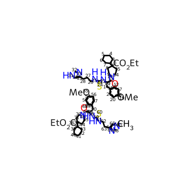 CCOC(=O)C1(C2CCCCC2)CCN(C(=O)[C@@H](Cc2ccc(OC)cc2)NC(=S)NCCCc2c[nH]cn2)CC1.CCOC(=O)C1(C2CCCCC2)CCN(C(=O)[C@@H](Cc2ccc(OC)cc2)NC(=S)NCCc2cn(C)cn2)CC1